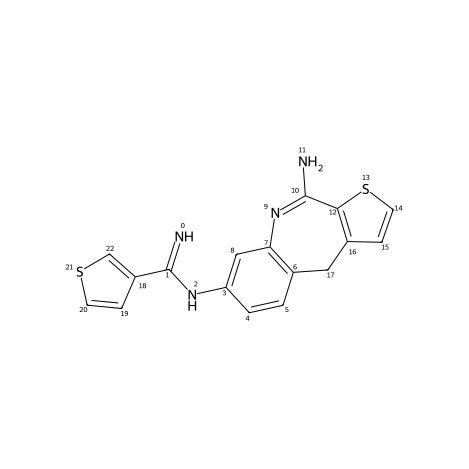 N=C(Nc1ccc2c(c1)N=C(N)c1sccc1C2)c1ccsc1